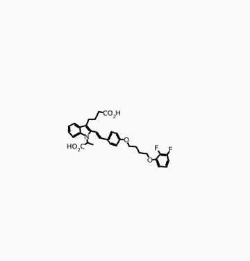 CC(C(=O)O)n1c(C=Cc2ccc(OCCCCOc3cccc(F)c3F)cc2)c(CCCC(=O)O)c2ccccc21